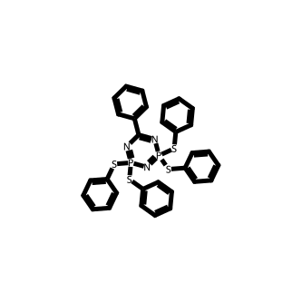 c1ccc(SP2(Sc3ccccc3)=NC(c3ccccc3)=NP(Sc3ccccc3)(Sc3ccccc3)=N2)cc1